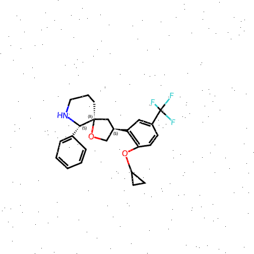 FC(F)(F)c1ccc(OC2CC2)c([C@H]2CO[C@]3(CCCN[C@H]3c3ccccc3)C2)c1